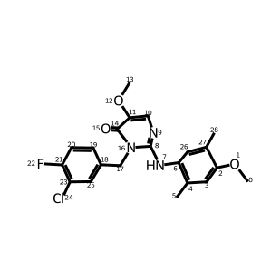 COc1cc(C)c(Nc2ncc(OC)c(=O)n2Cc2ccc(F)c(Cl)c2)cc1C